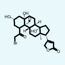 C[C@]12CC[C@H]3[C@@H](CC[C@]4(O)C[C@@H](O)CC(C(=O)CBr)[C@]34C=O)[C@@]1(O)CC[C@@H]2C1=CC(=O)OC1